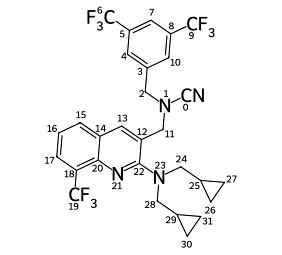 N#CN(Cc1cc(C(F)(F)F)cc(C(F)(F)F)c1)Cc1cc2cccc(C(F)(F)F)c2nc1N(CC1CC1)CC1CC1